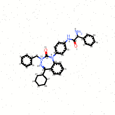 NC(C(=O)Nc1ccc(N2C(=O)N(Cc3ccccc3)N=C(C3CCCCC3)c3ccccc32)cc1)c1ccccc1